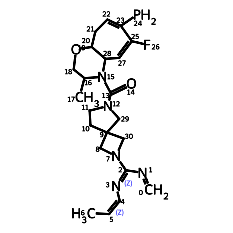 C=N/C(=N\C=C/C)N1CC2(CCN(C(=O)N3C(C)COC4CC=C(P)C(F)=CC43)C2)C1